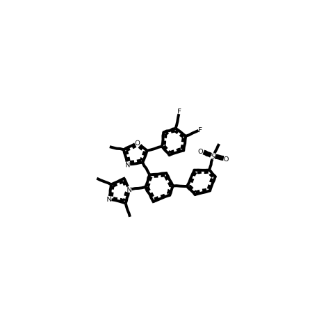 Cc1cn(-c2ccc(-c3cccc(S(C)(=O)=O)c3)cc2-c2nc(C)oc2-c2ccc(F)c(F)c2)c(C)n1